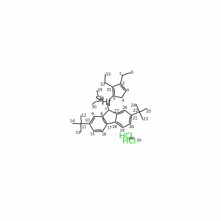 CCC1=CC[C]([Hf]([CH]2c3cc(C(C)(C)C)ccc3-c3ccc(C(C)(C)C)cc32)=[Si](C)C)=C1CC.Cl.Cl